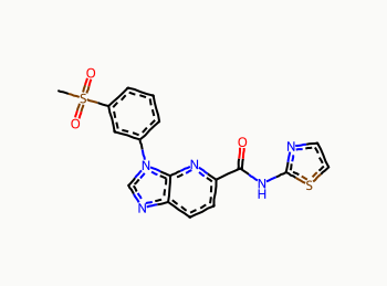 CS(=O)(=O)c1cccc(-n2cnc3ccc(C(=O)Nc4nccs4)nc32)c1